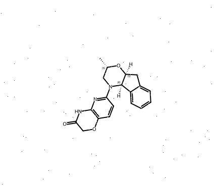 C[C@H]1CN(c2ccc3c(n2)NC(=O)CO3)[C@@H]2c3ccccc3C[C@@H]2O1